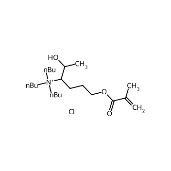 C=C(C)C(=O)OCCCC(C(C)O)[N+](CCCC)(CCCC)CCCC.[Cl-]